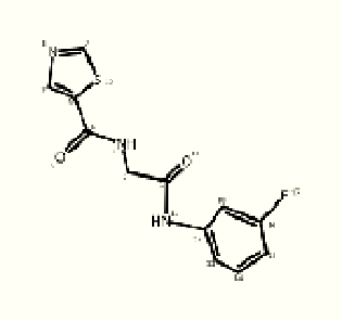 O=C(CNC(=O)c1cncs1)Nc1cccc(F)c1